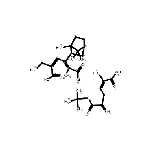 C=C(CC=C(C)C(=O)O)C(=O)OC(C)(C)C.CCC(=CC(=C(C)C(=O)O)C1CC2CCC1(C)C2(C)C)C(=O)O